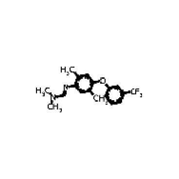 Cc1cc(Oc2cccc(C(F)(F)F)c2)c(C)cc1N=CN(C)C